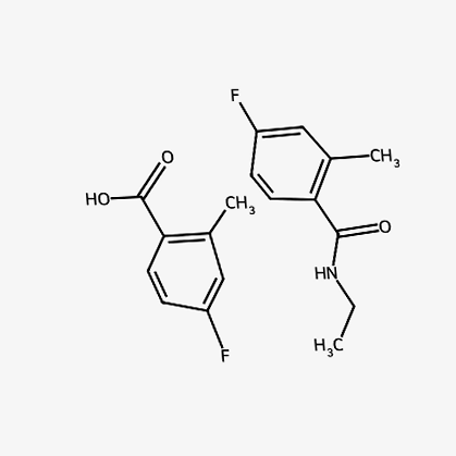 CCNC(=O)c1ccc(F)cc1C.Cc1cc(F)ccc1C(=O)O